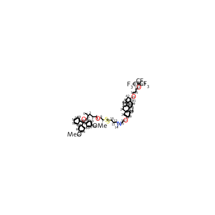 [CH2]C(CCCOCCSSCCCN(C)CCOc1ccc2c(c1)CC[C@@H]1[C@@H]2CC[C@]2(C)[C@@H](OCCCOC(C(F)(F)F)(C(F)(F)F)C(F)(F)F)CC[C@@H]12)COC(c1ccccc1)(c1ccc(OC)cc1)c1ccc(OC)cc1